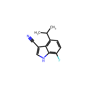 CC(C)c1ccc(F)c2[nH]cc(C#N)c12